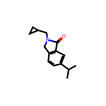 CC(C)c1ccc2c(c1)C(=O)N(CC1CC1)C2